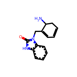 NC1CC=CC=C1Cn1c(=O)[nH]c2ccccc21